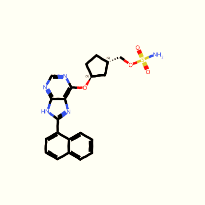 NS(=O)(=O)OC[C@H]1CC[C@H](Oc2ncnc3[nH]c(-c4cccc5ccccc45)nc23)C1